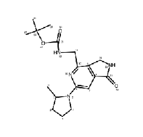 CC1CCCN1c1cc2c(c(CNC(=O)OC(C)(C)C)n1)CNC2=O